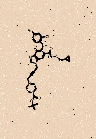 CC(C)(C)OC(=O)N1CCN(CC#CCn2cnc3c(F)c(Nc4ccc(Br)cc4Cl)c(C(=O)NOCC4CC4)cc32)CC1